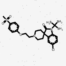 BC(B)(B)N1C(=O)C2(CCN(CCOc3ccc(S(C)(=O)=O)cc3)CC2)c2cc(Cl)ccc21